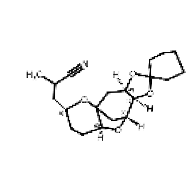 CC(C#N)C[C@H]1CC[C@@H]2O[C@@H]3CC2(C[C@H]2OC4(CCCCC4)O[C@@H]32)O1